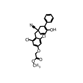 COC(=O)COc1cc(Cl)c(CC2(C#N)C=CC(O)=C(c3ccccc3)C2)c(Cl)c1